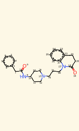 O=C(Cc1ccccc1)NC1CCN(CCCN2C(=O)CCc3ccccc32)CC1